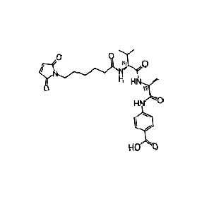 CC(C)[C@H](NC(=O)CCCCCN1C(=O)C=CC1=O)C(=O)N[C@@H](C)C(=O)Nc1ccc(C(=O)O)cc1